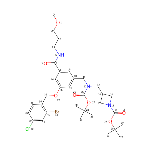 COCCCNC(=O)c1cc(CN(CC2CN(C(=O)OC(C)(C)C)C2)C(=O)OC(C)(C)C)cc(OCc2ccc(Cl)cc2Br)c1